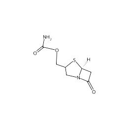 NC(=O)OCC1CN2C(=O)C[C@@H]2S1